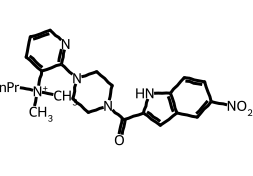 CCC[N+](C)(C)c1cccnc1N1CCN(C(=O)c2cc3cc([N+](=O)[O-])ccc3[nH]2)CC1